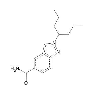 CCCC(CCC)n1cc2cc(C(N)=O)ccc2n1